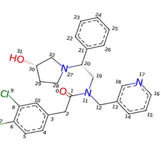 O=C(Cc1ccc(Cl)c(Cl)c1)N(Cc1cccnc1)C[C@@H](c1ccccc1)N1CC[C@H](O)C1